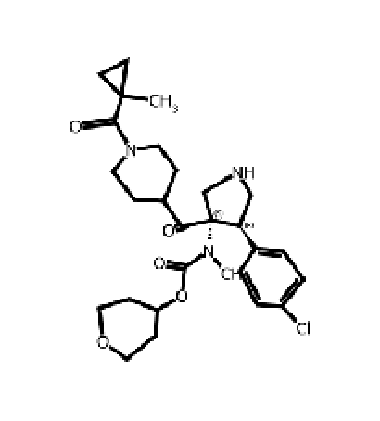 CN(C(=O)OC1CCOCC1)[C@]1(C(=O)C2CCN(C(=O)C3(C)CC3)CC2)CNC[C@H]1c1ccc(Cl)cc1